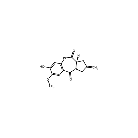 C=C1C[C@H]2C(=O)Nc3cc(O)c(OC)cc3C(=O)N2C1